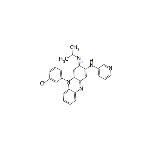 CC(C)/N=c1\cc2n(-c3cccc(Cl)c3)c3ccccc3nc-2cc1Nc1cccnc1